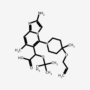 C=CCOC1(C)CCN(c2c(C(OC(C)(C)C)C(=O)O)c(C)cc3nc(N)cn23)CC1